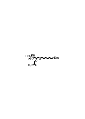 CCCCCCCCCCCCCCCCSCC(COP(=O)(O)O)OCC(N)=O